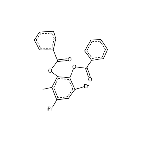 CCc1cc(C(C)C)c(C)c(OC(=O)c2ccccc2)c1OC(=O)c1ccccc1